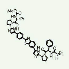 CCNC(=O)N[C@@H](C(=O)N1CCC[C@H]1c1ncc(-c2ccc3nc(-c4ccc(-c5cnc([C@@H]6CCCN6C(=O)[C@@H](NC(=O)OC)C(C)C)[nH]5)cc4)sc3c2)[nH]1)c1ccccc1